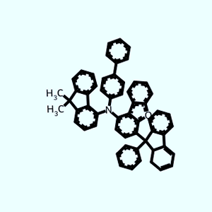 CC1(C)c2ccccc2-c2c(N(c3ccc(-c4ccccc4)cc3)c3ccc(C4(c5ccccc5)c5ccccc5C5=CC=CCC54)c4oc5ccccc5c34)cccc21